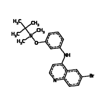 CC(C)(C)[Si](C)(C)Oc1cccc(Nc2ccnc3ccc(Br)cc23)c1